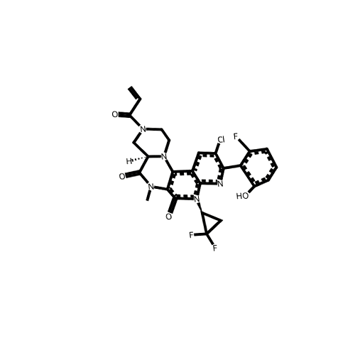 C=CC(=O)N1CCN2c3c(c(=O)n([C@H]4CC4(F)F)c4nc(-c5c(O)cccc5F)c(Cl)cc34)N(C)C(=O)[C@H]2C1